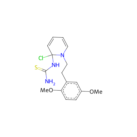 COc1ccc(OC)c(CCN2C=CC=CC2(Cl)NC(N)=S)c1